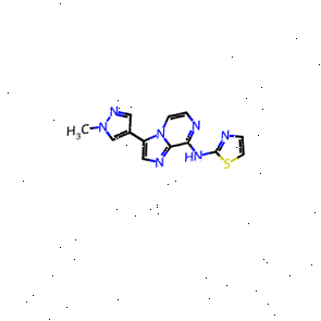 Cn1cc(-c2cnc3c(Nc4nccs4)nccn23)cn1